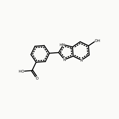 O=C(O)c1cccc(-c2nc3ncc(O)cc3[nH]2)c1